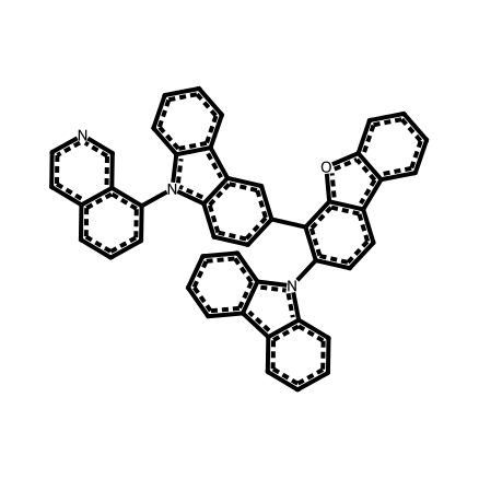 c1cc(-n2c3ccccc3c3cc(-c4c(-n5c6ccccc6c6ccccc65)ccc5c4oc4ccccc45)ccc32)c2cnccc2c1